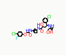 O=C(COc1ccc(Cl)c(F)c1)NC1CC2(NC(=O)C3CC(NC4(CO)CC4)c4cc(Cl)ccc4O3)CC1C2